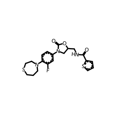 O=C(NCC1CN(c2ccc(N3CCCSCC3)c(F)c2)C(=O)O1)c1cccs1